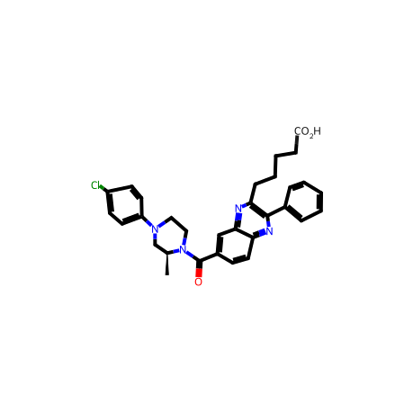 C[C@H]1CN(c2ccc(Cl)cc2)CCN1C(=O)c1ccc2nc(-c3ccccc3)c(CCCCC(=O)O)nc2c1